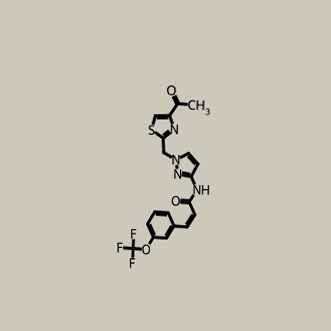 CC(=O)c1csc(Cn2ccc(NC(=O)/C=C\c3cccc(OC(F)(F)F)c3)n2)n1